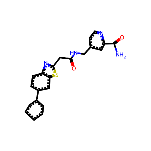 NC(=O)c1cc(CNC(=O)Cc2nc3ccc(-c4ccccc4)cc3s2)ccn1